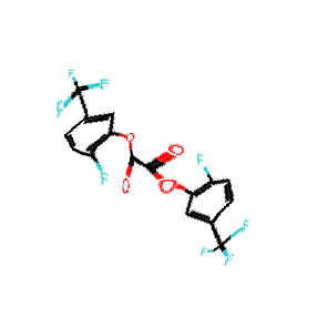 O=C(Oc1cc(C(F)(F)F)ccc1F)C(=O)Oc1cc(C(F)(F)F)ccc1F